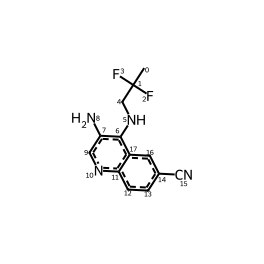 CC(F)(F)CNc1c(N)cnc2ccc(C#N)cc12